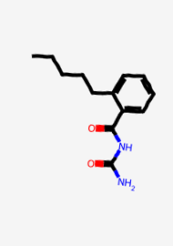 CCCCCc1ccccc1C(=O)NC(N)=O